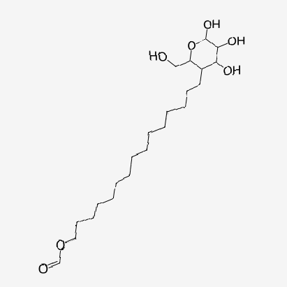 O=COCCCCCCCCCCCCCCCC1C(CO)OC(O)C(O)C1O